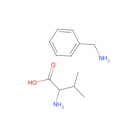 CC(C)C(N)C(=O)O.NCc1ccccc1